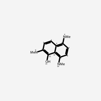 CNc1ccc2c(NC)ccc(NC)c2c1O